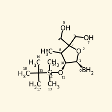 B[C@@H]1OC(CO)(CO)C(C)[C@@H]1O[Si](C)(C)C(C)(C)C